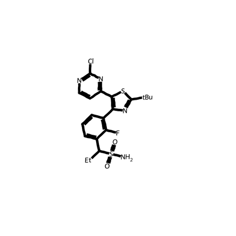 CCC(c1cccc(-c2nc(C(C)(C)C)sc2-c2ccnc(Cl)n2)c1F)S(N)(=O)=O